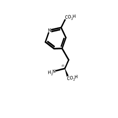 N[C@@H](Cc1ccnc(C(=O)O)c1)C(=O)O